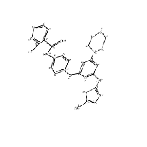 N#Cc1cnc(Nc2cc(N3CCOCC3)cc(Oc3ccc(NC(=O)c4cccnc4F)cc3)n2)s1